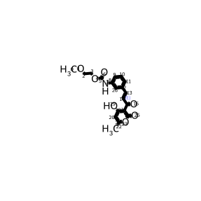 COCCOC(=O)Nc1cccc(/C=C/C(=O)c2c(O)cc(C)oc2=O)c1